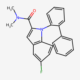 CN(C)C(=O)c1cc2cc(F)ccc2n1-c1ccccc1-c1ccccc1